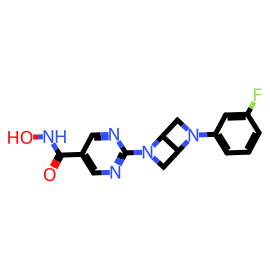 O=C(NO)c1cnc(N2CC3C2CN3c2cccc(F)c2)nc1